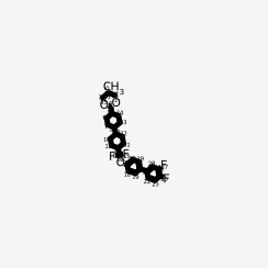 CC1COC(C2CCC(C3CCC(C(F)(F)Oc4ccc(-c5ccc(F)c(F)c5)cc4)CC3)CC2)OC1